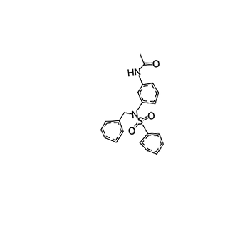 CC(=O)Nc1cccc(N(Cc2ccccc2)S(=O)(=O)c2ccccc2)c1